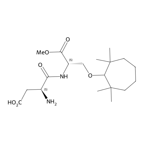 COC(=O)[C@H](COC1C(C)(C)CCCCC1(C)C)NC(=O)[C@@H](N)CC(=O)O